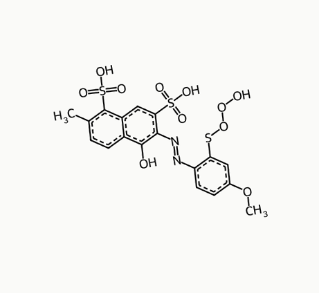 COc1ccc(N=Nc2c(S(=O)(=O)O)cc3c(S(=O)(=O)O)c(C)ccc3c2O)c(SOOO)c1